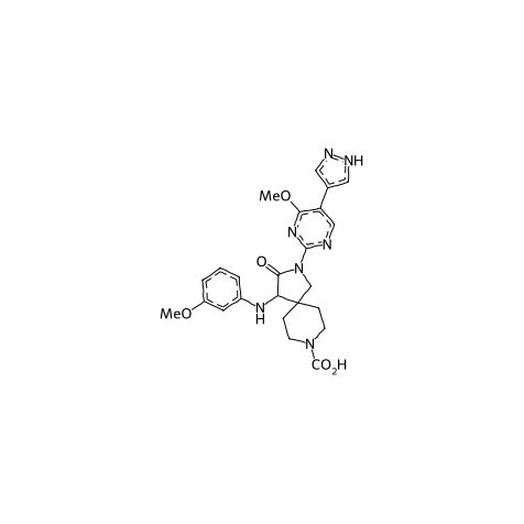 COc1cccc(NC2C(=O)N(c3ncc(-c4cn[nH]c4)c(OC)n3)CC23CCN(C(=O)O)CC3)c1